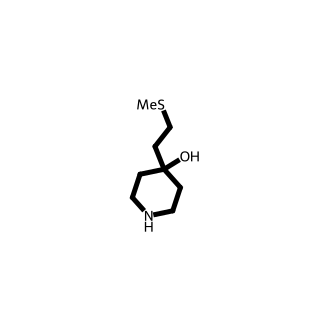 CSCCC1(O)CCNCC1